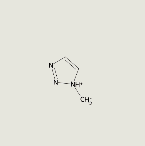 [CH2-][NH+]1C=CN=N1